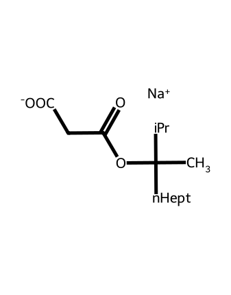 CCCCCCCC(C)(OC(=O)CC(=O)[O-])C(C)C.[Na+]